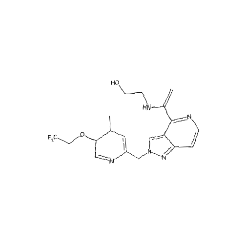 C=C(NCCO)c1nccc2nn(CC3=CC(C)C(OCC(F)(F)F)C=N3)cc12